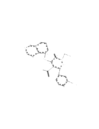 CCn1nc(-c2cccc(Cl)c2)c(C(C)=O)c(Nc2cccc3cnccc23)c1=O